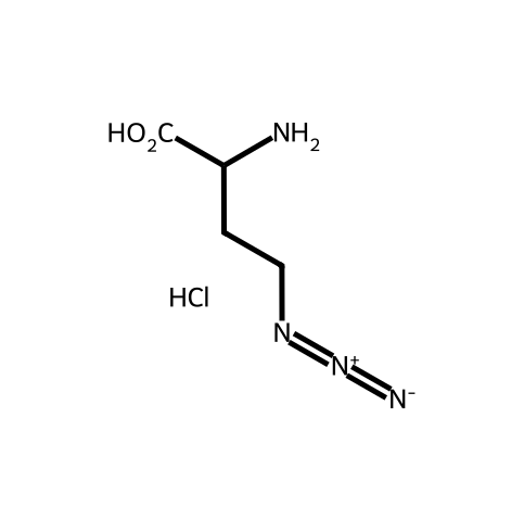 Cl.[N-]=[N+]=NCCC(N)C(=O)O